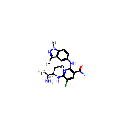 CCn1nc(C)c2cc(Nc3nc(N[C@H](CC(C)C)[C@H](C)N)c(F)cc3C(N)=O)ccc21